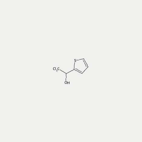 OC(c1cccs1)C(Cl)(Cl)Cl